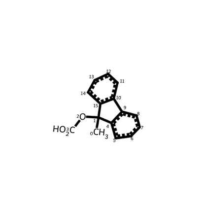 CC1(OC(=O)O)c2ccccc2-c2ccccc21